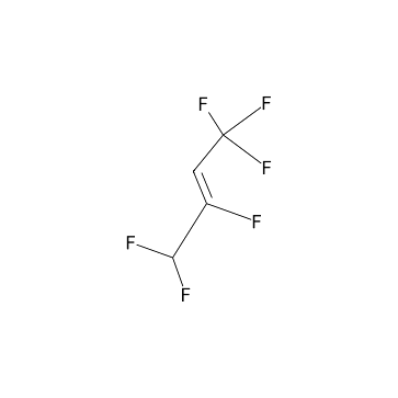 FC(=CC(F)(F)F)C(F)F